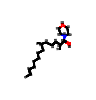 CC=CCCCCCC(C)CCCC(C)C(=O)N1CCOCC1